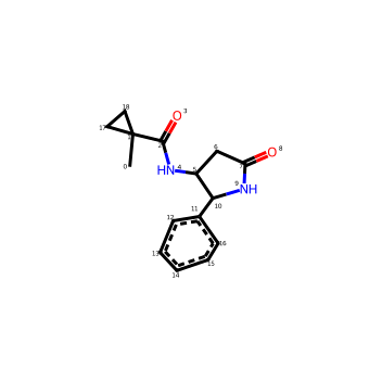 CC1(C(=O)NC2CC(=O)NC2c2ccccc2)CC1